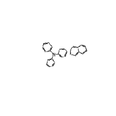 c1ccc(N(c2ccccc2)c2ccccc2)cc1.c1ccc2ccccc2c1